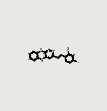 Fc1ccc(/C=C/c2cc3c(nn2)Oc2ccccc2O3)c(F)c1